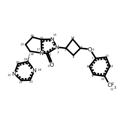 O=c1n(C2CC(Oc3ccc(C(F)(F)F)cc3)C2)nc2n1[C@H](c1cnccn1)CC2